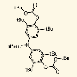 CCCCCN(c1cc(C(C)(C)C)c(OC(=O)OC(C)(C)C)c(C(C)(C)C)c1)c1cc(C(C)(C)C)c(OC(=O)OC(C)(C)C)c(C(C)(C)C)c1